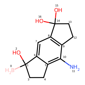 BC1(O)CCc2c1cc1c(c2N)CCC1(O)O